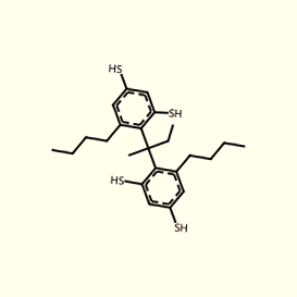 CCCCc1cc(S)cc(S)c1C(C)(CC)c1c(S)cc(S)cc1CCCC